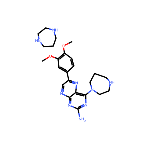 C1CNCCNC1.COc1ccc(-c2cnc3nc(N)nc(N4CCCNCC4)c3n2)cc1OC